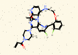 C=CC(=O)N1CCN(c2nc(=O)n3c4nc(c(F)cc24)-c2c(F)cccc2OCCNc2ccnc(C(C)C)c2-3)[C@H](C)C1